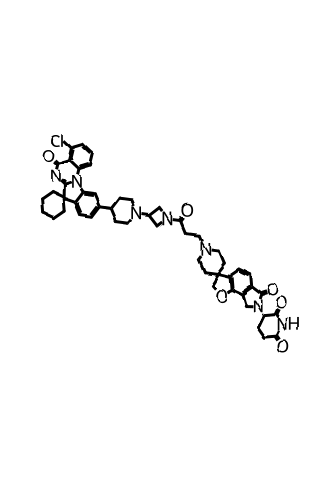 O=C1CC[C@H](N2Cc3c(ccc4c3OCC43CCN(CCC(=O)N4CC(N5CCC(c6ccc7c(c6)-n6c(nc(=O)c8c(Cl)cccc86)C76CCCCC6)CC5)C4)CC3)C2=O)C(=O)N1